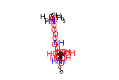 CC(C)(C)OC(=O)NCCOCCOCCOCCOCCNC(=O)CCOCCO[C@]1(C(=O)O)C[C@H](O)[C@@H](NC(=O)CO)[C@H]([C@H](O)[C@H](O)CNC(=O)Cc2ccc(-c3ccccc3)cc2)O1